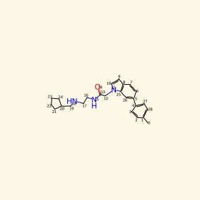 Cc1ccc(-c2ccc3ccn(CC(=O)NCCNCC4CCCC4)c3c2)cc1